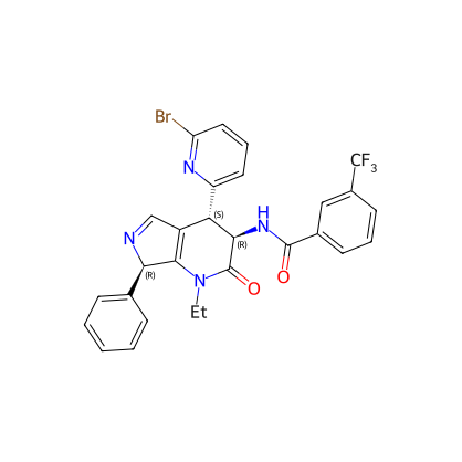 CCN1C(=O)[C@H](NC(=O)c2cccc(C(F)(F)F)c2)[C@@H](c2cccc(Br)n2)C2=C1[C@@H](c1ccccc1)N=C2